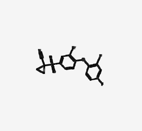 N#CC1(S(=O)(=O)c2ccc(Oc3ccc(F)cc3F)c(Br)c2)CC1